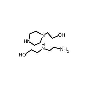 NCCNCCO.OCCN1CCNCC1